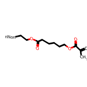 C=C(C)C(=O)OCCCCCC(=O)OCCCCCCCCCCC